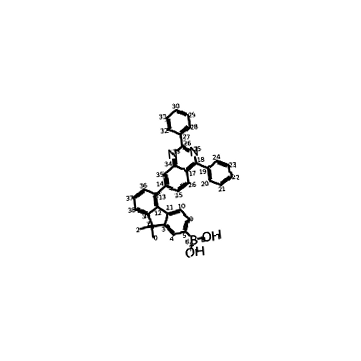 CC1(C)c2cc(B(O)O)ccc2-c2c(-c3ccc4c(-c5ccccc5)nc(-c5ccccc5)nc4c3)cccc21